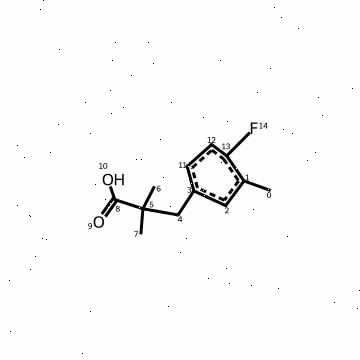 Cc1cc(CC(C)(C)C(=O)O)ccc1F